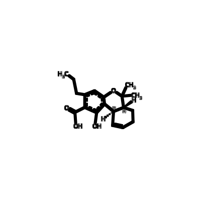 CCCc1cc2c(c(O)c1C(=O)O)[C@@H]1C=CCC[C@H]1C(C)(C)O2